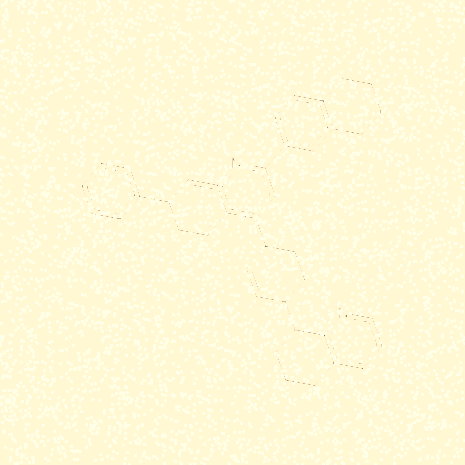 C1=Cc2cc(-c3cc(C4C=CC(C5CCCc6cccnc65)CC4)c4c(n3)=CC(c3ccccc3)CC=4)ccc2CC1